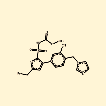 CCCCOC(=O)NS(=O)(=O)c1sc(CC(C)C)cc1-c1ccc(Cn2ccnc2)c(C#N)c1